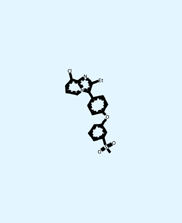 CCc1nc2c(Cl)cccn2c1-c1ccc(Oc2cccc(S(C)(=O)=O)c2)cc1